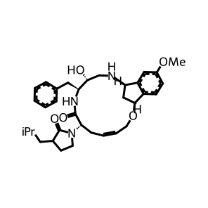 COc1ccc2c(c1)[C@@H]1C[C@H]2OCC=CC[C@H](N2CCC(CC(C)C)C2=O)C(=O)N[C@@H](Cc2ccccc2)[C@H](O)CN1